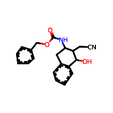 N#CCC1C(NC(=O)OCc2ccccc2)Cc2ccccc2C1O